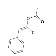 CC(=O)OC(Cl)=Cc1ccccc1